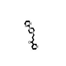 O=C(CCCN1CCN(c2ncccn2)CC1)c1cccnc1